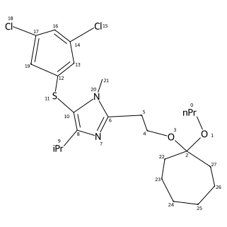 CCCOC1(OCCc2nc(C(C)C)c(Sc3cc(Cl)cc(Cl)c3)n2C)CCCCCC1